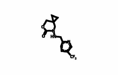 O=C1OCC2(CC2)CN1NCc1ccc(C(F)(F)F)cn1